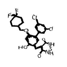 O=C1NSNC(=O)C1=Cc1cc(-c2cc(Cl)cc(Cl)c2)c(OCC2CCC(F)(F)CC2)cc1O